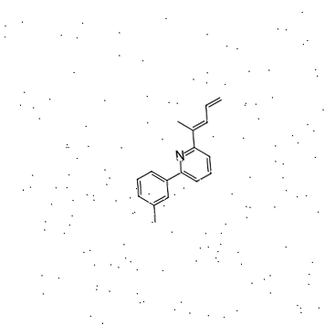 C=C/C=C(\C)c1cccc(-c2cccc(C)c2)n1